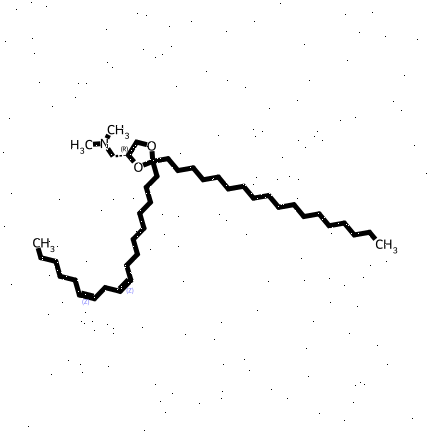 CCCCC/C=C\C/C=C\CCCCCCCCC1(CCCCCCCCCCCCCCCCCC)OC[C@@H](CN(C)C)O1